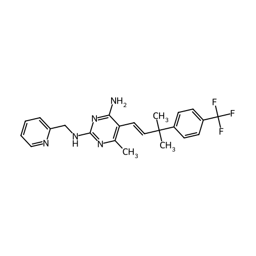 Cc1nc(NCc2ccccn2)nc(N)c1C=CC(C)(C)c1ccc(C(F)(F)F)cc1